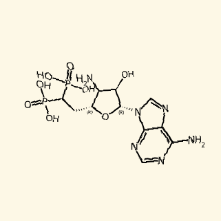 Nc1ncnc2c1ncn2[C@@H]1O[C@H](CC(P(=O)(O)O)P(=O)(O)O)C(N)C1O